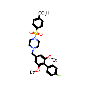 CCOc1cc(CN2CCN(S(=O)(=O)c3ccc(C(=O)O)cc3)CC2)cc(OCC)c1-c1ccc(F)cc1